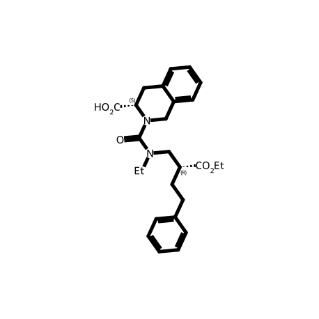 CCOC(=O)[C@H](CCc1ccccc1)CN(CC)C(=O)N1Cc2ccccc2C[C@H]1C(=O)O